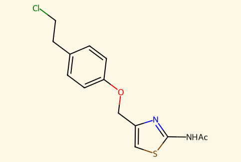 CC(=O)Nc1nc(COc2ccc(CCCl)cc2)cs1